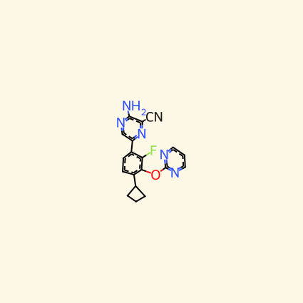 N#Cc1nc(-c2ccc(C3CCC3)c(Oc3ncccn3)c2F)cnc1N